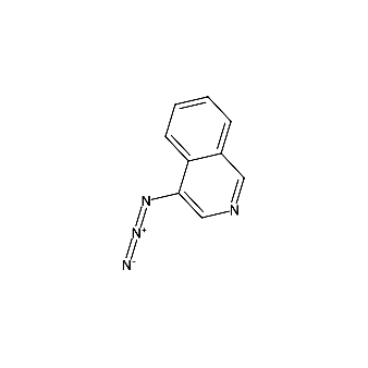 [N-]=[N+]=Nc1cncc2ccccc12